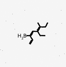 B/C(C=C)=C/C(CC)=C(\C)CC